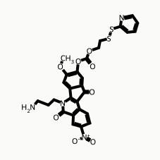 COc1cc2c(cc1OC(=O)OCCSSc1ccccn1)C(=O)c1c-2n(CCCN)c(=O)c2cc([N+](=O)[O-])ccc12